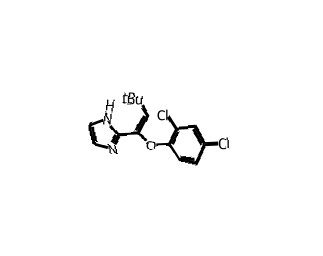 CC(C)(C)/C=C(/Oc1ccc(Cl)cc1Cl)c1ncc[nH]1